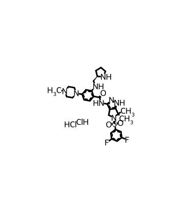 CN1CCN(c2ccc(C(=O)Nc3n[nH]c4c3CN(S(=O)(=O)c3cc(F)cc(F)c3)C4(C)C)c(NC[C@H]3CCCN3)c2)CC1.Cl.Cl